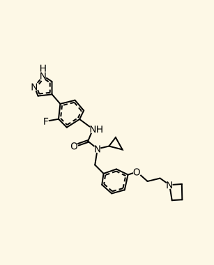 O=C(Nc1ccc(-c2cn[nH]c2)c(F)c1)N(Cc1cccc(OCCN2CCC2)c1)C1CC1